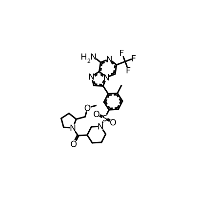 COCC1CCCN1C(=O)C1CCCN(S(=O)(=O)c2ccc(C)c(-c3cnc4c(N)nc(C(F)(F)F)cn34)c2)C1